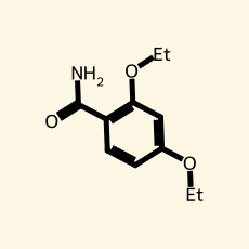 CCOc1ccc(C(N)=O)c(OCC)c1